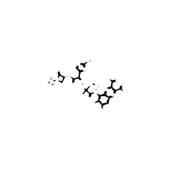 CNN(C(=O)C(C)(C)O/N=C(\C(=O)N[C@@H]1C(=O)N(S(=O)(=O)O)[C@H]1C)c1csc(N)n1)c1c(O)c(O)cc2nc(C(=O)O)c(C(=O)O)nc12